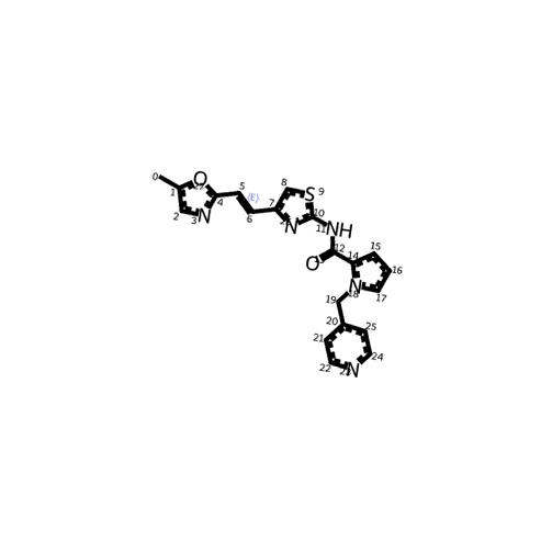 Cc1cnc(/C=C/c2csc(NC(=O)c3cccn3Cc3ccncc3)n2)o1